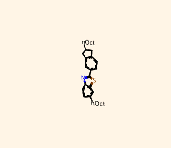 CCCCCCCCc1ccc2nc(-c3ccc4c(c3)CC(CCCCCCCC)C4)sc2c1